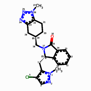 Cn1ncc(Cl)c1C[C@H]1c2ccccc2C(=O)N1C[C@@H]1CCc2c(nnn2C)C1